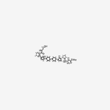 COC(=O)N[C@@H](C(C)C)C(O)N1CCC[C@H]1c1ncc(-c2ccc(-c3ccc(-c4cnc(C5C6CCC(C6)C5C(=O)NCCO)[nH]4)cc3)cc2)[nH]1